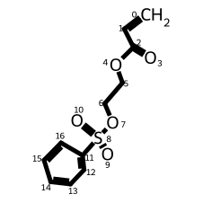 C=CC(=O)OCCOS(=O)(=O)c1ccccc1